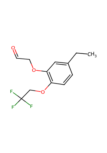 CCc1ccc(OCC(F)(F)F)c(OCC=O)c1